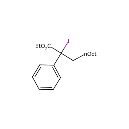 CCCCCCCCCC(I)(C(=O)OCC)c1ccccc1